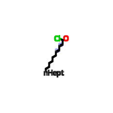 CCCCCCCCCCCCC/C=C/C=C/C(=O)Cl